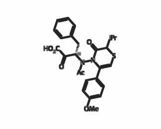 COc1ccc(C2=CSC(C(C)C)C(=O)N2N(C(C)=O)[C@@H](Cc2ccccc2)C(=O)C(=O)O)cc1